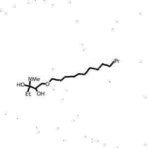 CCC(O)(NC)C(O)COCCCCCCCCCCC(C)C